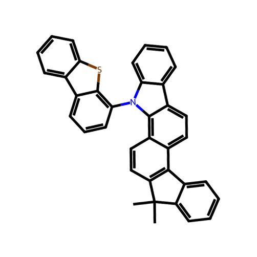 CC1(C)c2ccccc2-c2c1ccc1c2ccc2c3ccccc3n(-c3cccc4c3sc3ccccc34)c12